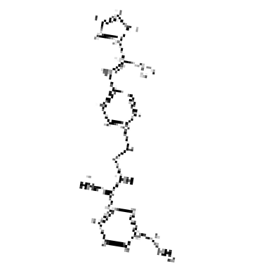 N=C(NCCc1ccc(N=C(N)c2cccs2)cc1)c1cccc(CN)c1